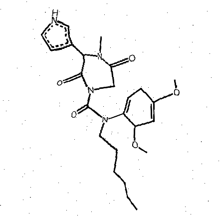 CCCCCCN(C(=O)N1CC(=O)N(C)C(c2cc[nH]c2)C1=O)C1=CCC(OC)=CC1OC